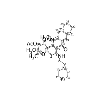 CC(=O)O[C@@H]1c2c(cc(NCCN3CCOCC3)c3c(=O)c4cc5ccccc5cc4n(C)c23)OC(C)(C)[C@@H]1OC(C)=O